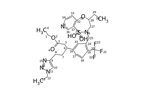 CCOC(=O)CC(CCc1cn(CC)nn1)c1ccc(C(F)(F)F)c(CN2CC(CC)Oc3ccncc3S2(O)O)c1